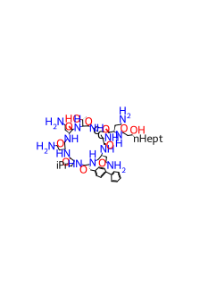 CCCCCCC[C@@H](O)CC(=O)N[C@H](CCN)C(=O)N[C@H]1CCNC(=O)[C@H]([C@@H](C)O)NC(=O)[C@H](CCN)NC(=O)[C@H](CCN)NC(=O)[C@H](CC(C)C)NC(=O)[C@@H](Cc2ccc(-c3ccccc3)cc2)NC(=O)[C@H](CCN)NC1=O